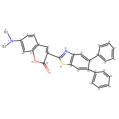 CCN(CC)c1ccc2cc(-c3nc4cc(-c5ccccc5)c(-c5ccccc5)cc4s3)c(=O)oc2c1